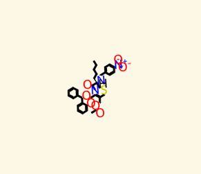 CCCCC[C@]1(N=Cc2ccc([N+](=O)[O-])cc2)C(=O)N2C(C(=O)OC(c3ccccc3)c3ccccc3)=C(COC(C)=O)CS[C@@H]21